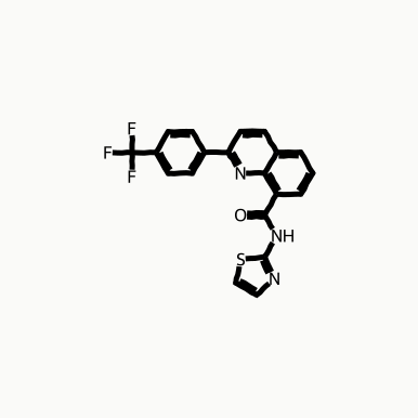 O=C(Nc1nccs1)c1cccc2ccc(-c3ccc(C(F)(F)F)cc3)nc12